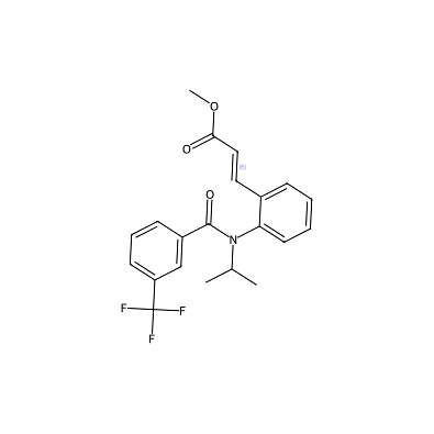 COC(=O)/C=C/c1ccccc1N(C(=O)c1cccc(C(F)(F)F)c1)C(C)C